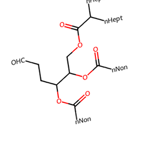 CCCCCCCCCC(=O)OC(CCC=O)C(COC(=O)C(CCCCCCC)CCCCCCC)OC(=O)CCCCCCCCC